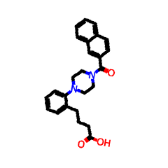 O=C(O)CCCc1ccccc1N1CCN(C(=O)c2ccc3ccccc3c2)CC1